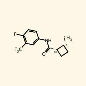 C[C@@H]1CC[C@@H]1C(=O)Nc1ccc(F)c(C(F)(F)F)c1